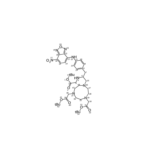 CC(C)(C)OC(=O)CNC(Cc1ccc(Nc2ccc([N+](=O)[O-])c3nonc23)cc1)CN1CCN(CC(=O)OC(C)(C)C)CCN(CC(=O)OC(C)(C)C)CC1